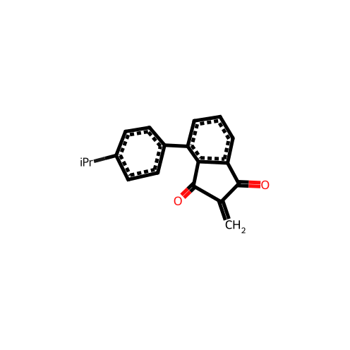 C=C1C(=O)c2cccc(-c3ccc(C(C)C)cc3)c2C1=O